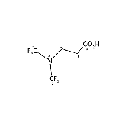 O=C(O)CCN(C(F)(F)F)C(F)(F)F